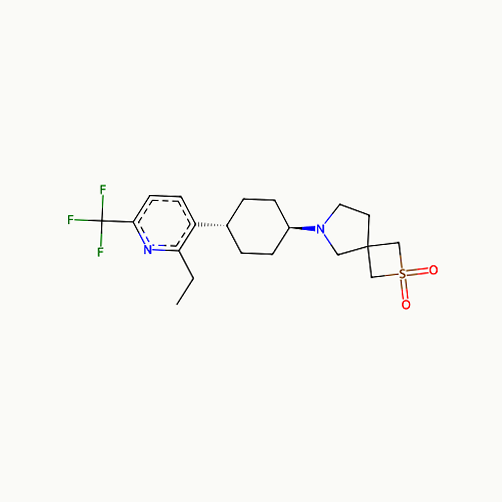 CCc1nc(C(F)(F)F)ccc1[C@H]1CC[C@H](N2CCC3(C2)CS(=O)(=O)C3)CC1